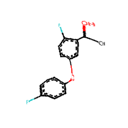 N#CC(O)c1cc(Oc2ccc(F)cc2)ccc1F